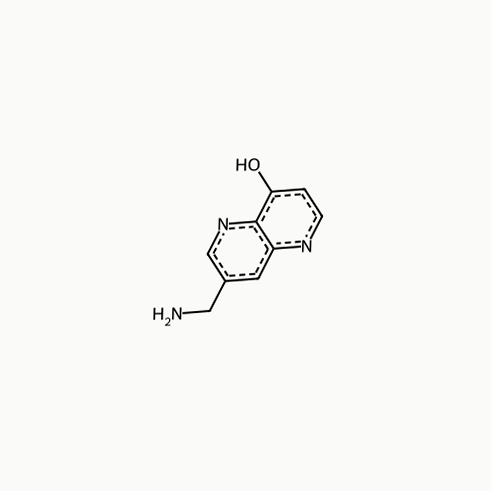 NCc1cnc2c(O)ccnc2c1